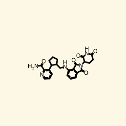 NC(=O)c1ncccc1C1CCCC1CNc1cccc2c1C(=O)N(C1CCC(=O)NC1=O)C2=O